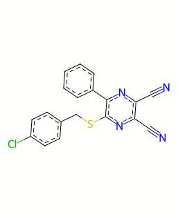 N#Cc1nc(SCc2ccc(Cl)cc2)c(-c2ccccc2)nc1C#N